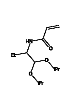 C=CC(=O)NC(CC)C(OC(C)C)OC(C)C